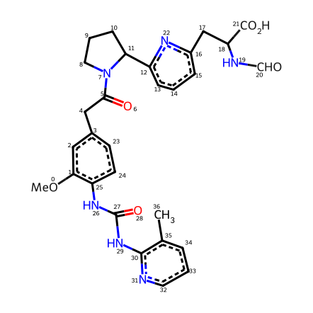 COc1cc(CC(=O)N2CCCC2c2cccc(CC(NC=O)C(=O)O)n2)ccc1NC(=O)Nc1ncccc1C